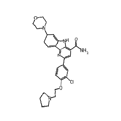 NC(=O)c1cc(-c2ccc(OCCN3CCCC3)c(Cl)c2)nc2c3c([nH]c12)=CC(N1CCOCC1)CC=3